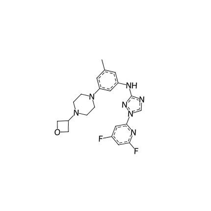 Cc1cc(Nc2ncn(-c3cc(F)cc(F)n3)n2)cc(N2CCN(C3COC3)CC2)c1